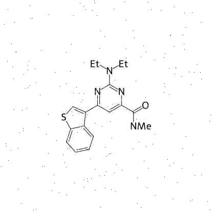 CCN(CC)c1nc(C(=O)NC)cc(-c2csc3ccccc23)n1